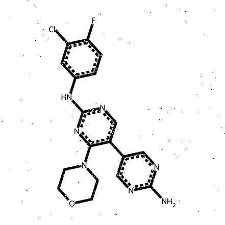 Nc1ncc(-c2cnc(Nc3ccc(F)c(Cl)c3)nc2N2CCOCC2)cn1